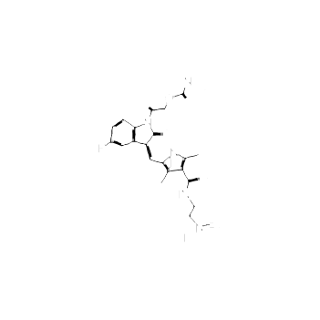 CCN(CC)CCNC(=O)c1c(C)[nH]c(/C=C2\C(=O)N(C(=O)COC(N)=O)c3ccc(F)cc32)c1C